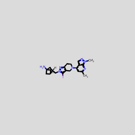 Cc1cc(N2CCc3nn(C[C@H]4CC5(N)CC4C5)c(I)c3C2)c2cnn(C)c2n1